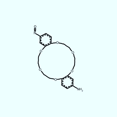 Nc1ccc2c(c1)OCCOCCOc1ccc(N=O)cc1OCCOCCO2